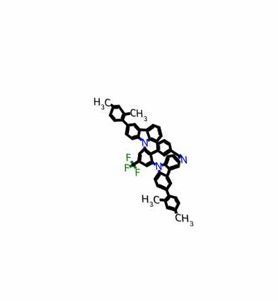 Cc1ccc(-c2ccc3c(c2)c2ccccc2n3-c2cc(C(F)(F)F)cc(-n3c4ccccc4c4cc(-c5ccc(C)cc5C)ccc43)c2-c2cccc(C#N)c2)c(C)c1